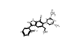 C[C@@H]1CN(c2c(CO)cc3c(-c4ccccc4F)noc3c2F)C[C@H](C)O1